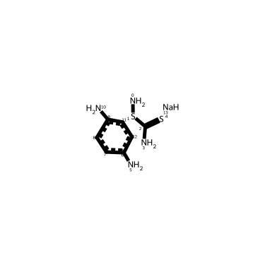 NSC(N)=S.Nc1ccc(N)cc1.[NaH]